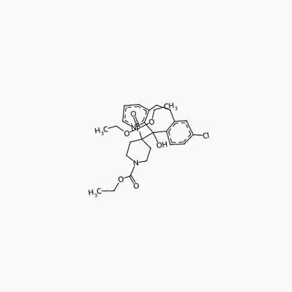 CCOC(=O)N1CCC(C2(O)c3ccc(Cl)cc3CCc3cccnc32)(P(=O)(OCC)OCC)CC1